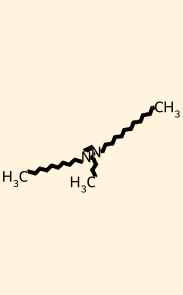 CCCCCCCCCCCCCn1cc[n+](CCCCCCCCCCC)c1CCCC